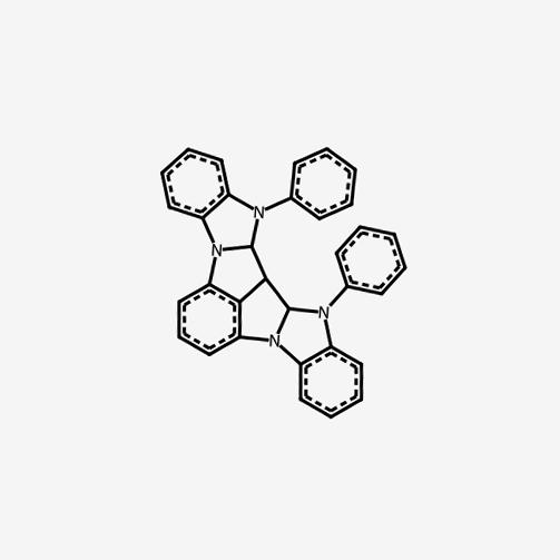 c1ccc(N2c3ccccc3N3c4cccc5c4C(C23)C2N(c3ccccc3)c3ccccc3N52)cc1